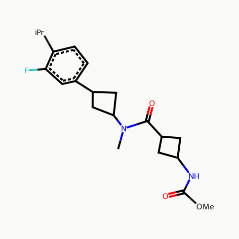 COC(=O)NC1CC(C(=O)N(C)C2CC(c3ccc(C(C)C)c(F)c3)C2)C1